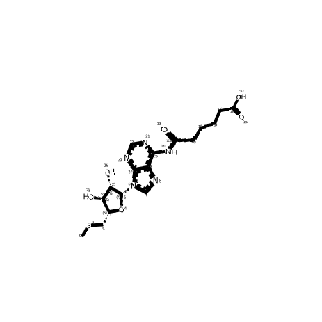 CSC[C@H]1O[C@@H](n2cnc3c(NC(=O)CCCCC(=O)O)ncnc32)[C@@H](O)[C@@H]1O